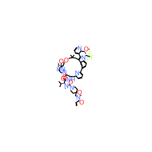 C=CC(=O)N1COC2(CCN(C(=O)N(C)[C@H](C(=O)N[C@H]3Cc4cccc(n4)-c4ccc5c(c4)c(c(-c4cccnc4[C@H](C)OC)n5CC(F)(F)F)CC(C)(C)COC(=O)[C@@H]4CCCN(N4)C3=O)C(C)C)CC2)C1